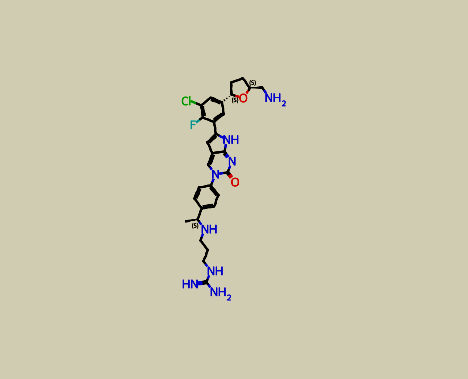 C[C@H](NCCCNC(=N)N)c1ccc(-n2cc3cc(-c4cc([C@@H]5CC[C@@H](CN)O5)cc(Cl)c4F)[nH]c3nc2=O)cc1